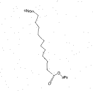 CCCCCCCCCCCCCCCCCCCC(=O)OCCC